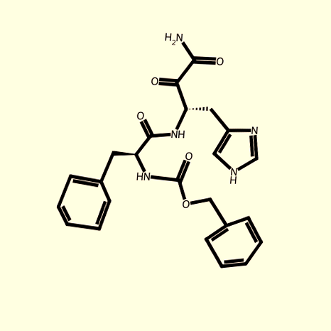 NC(=O)C(=O)[C@H](Cc1c[nH]cn1)NC(=O)[C@H](Cc1ccccc1)NC(=O)OCc1ccccc1